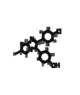 Cc1cn2c(-c3ccc(O)cc3)c(-c3ccc(Cl)cc3)nc2s1